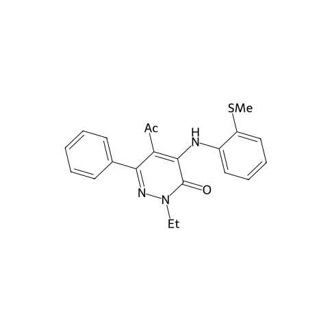 CCn1nc(-c2ccccc2)c(C(C)=O)c(Nc2ccccc2SC)c1=O